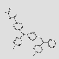 C=C(OC(C)=O)c1ccc(N(c2ccc(C)cc2)c2ccc(C=C(c3ccccc3)c3ccc(C)cc3)cc2)cc1